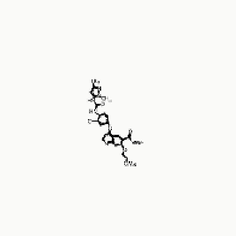 CNC(=O)c1cc2c(Oc3ccc(NC(=O)Nc4cc(C(C)(C)C)nn4C)c(Cl)c3)ccnc2cc1OCCOC